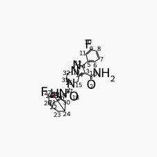 NC(=O)c1c(-c2cccc(F)c2)nn2c1CN(C(=O)NC13CC4CC(CC(F)(C4)C1)C3)CC2